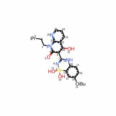 CC(C)CCn1c(=O)c(C2=NS(O)(O)c3cc(OCC(C)C)ccc3N2)c(O)c2cccnc21